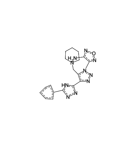 Nc1nonc1-n1nnc(-c2nnc(-c3ccccc3)[nH]2)c1CN1CCCCC1